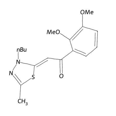 CCCCN1N=C(C)SC1=CC(=O)c1cccc(OC)c1OC